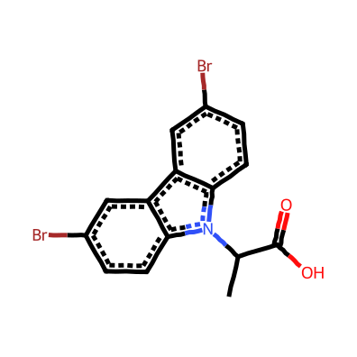 CC(C(=O)O)n1c2ccc(Br)cc2c2cc(Br)ccc21